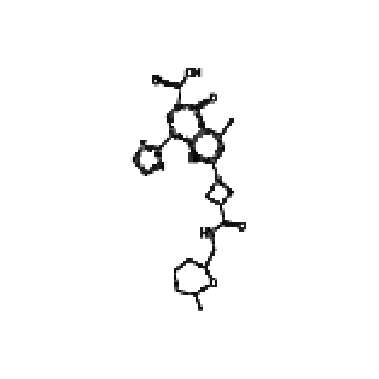 Cc1cc(N2CC(C(=O)NCC3CCCC(C)O3)C2)nc2c1c(=O)c(C(=O)O)cn2-c1nccs1